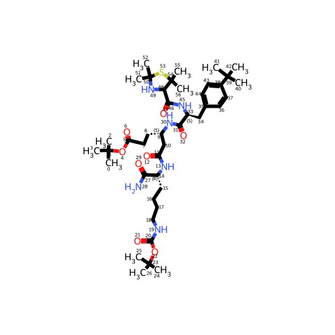 CC(C)(C)OC(=O)CC[C@@H](CC(=O)N[C@H](CCCCNC(=O)OC(C)(C)C)C(N)=O)NC(=O)[C@H](Cc1ccc(C(C)(C)C)cc1)NC(=O)C1NC(C)(C)SC1(C)C